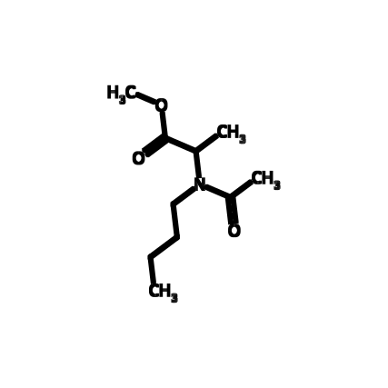 CCCCN(C(C)=O)C(C)C(=O)OC